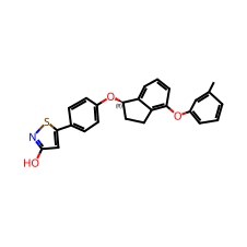 Cc1cccc(Oc2cccc3c2CC[C@H]3Oc2ccc(-c3cc(O)ns3)cc2)c1